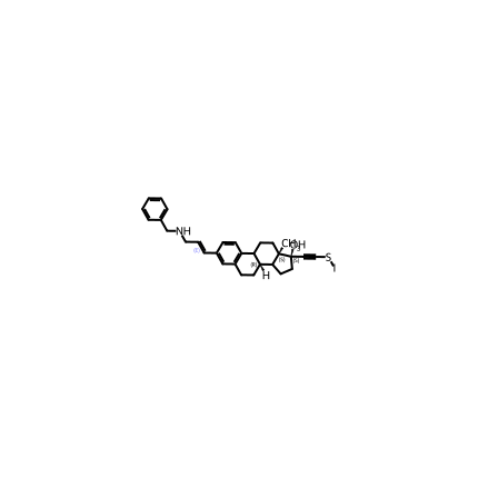 C[C@]12CCC3c4ccc(/C=C/CNCc5ccccc5)cc4CC[C@H]3C1CC[C@@]2(O)C#CSI